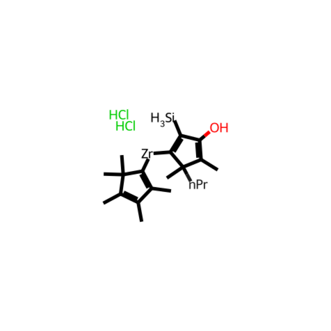 CCCC1(C)C(C)=C(O)C([SiH3])=[C]1[Zr][C]1=C(C)C(C)=C(C)C1(C)C.Cl.Cl